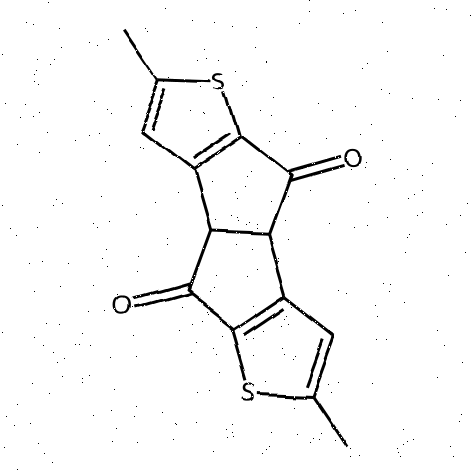 Cc1cc2c(s1)C(=O)C1c3cc(C)sc3C(=O)C21